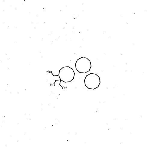 C1CCCCCCCCC1.C1CCCCCCCCC1.CC(C)(C)CC1CCCCCCCCC1(CO)CO